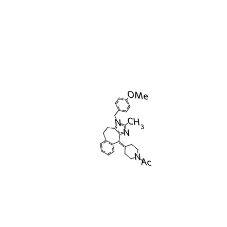 COc1ccc(Cn2c(C)nc3c2CCc2ccccc2C3=C2CCN(C(C)=O)CC2)cc1